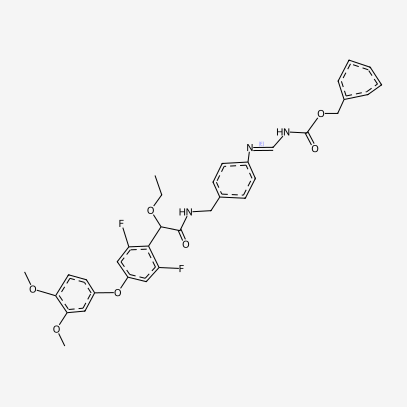 CCOC(C(=O)NCc1ccc(/N=C/NC(=O)OCc2ccccc2)cc1)c1c(F)cc(Oc2ccc(OC)c(OC)c2)cc1F